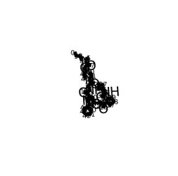 CCCCN(C)C(=O)ON1CCN(C(=O)CNC(=O)c2cc(OCC(=O)N3CCC[C@H]3C(=O)NC3CCC3)n(-c3ccccc3)n2)CC1